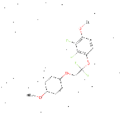 CCCCOC1CCC(OCC(F)(F)Oc2ccc(OCC)c(F)c2F)CC1